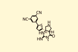 CN1C(=N)N[C@@]2(c3ccc(-c4cc(C#N)cc(C#N)c4)s3)CNC[C@H]2C1=O